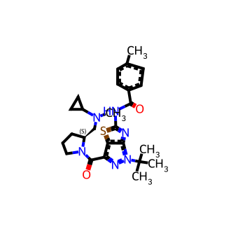 Cc1ccc(C(=O)Nc2nc3c(s2)c(C(=O)N2CCC[C@H]2CN(C)C2CC2)nn3C(C)(C)C)cc1